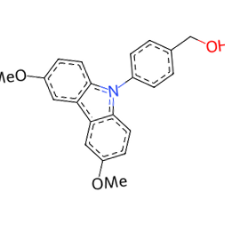 COc1ccc2c(c1)c1cc(OC)ccc1n2-c1ccc(CO)cc1